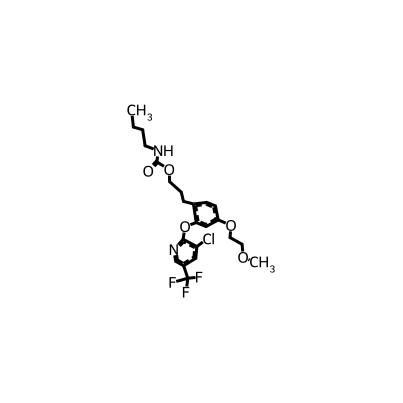 CCCCNC(=O)OCCCc1ccc(OCCOC)cc1Oc1ncc(C(F)(F)F)cc1Cl